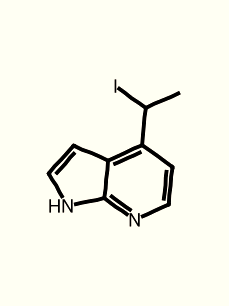 CC(I)c1ccnc2[nH]ccc12